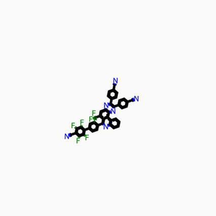 N#Cc1ccc(-c2nc3cc(C(F)(F)F)c4c(-c5ccc(-c6c(F)c(F)c(C#N)c(F)c6F)cc5)nc5ccccc5c4c3nc2-c2ccc(C#N)cc2)cc1